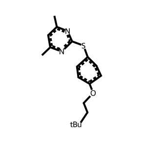 Cc1cc(C)nc(Sc2ccc(OCCC(C)(C)C)cc2)n1